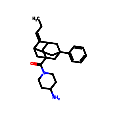 CCC=C1C2CC3(C(=O)N4CCC(N)CC4)CC1CC(c1ccccc1)(C2)C3